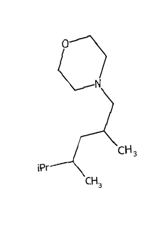 CC(CC(C)C(C)C)CN1CCOCC1